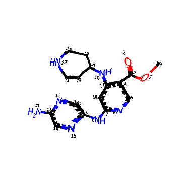 COC(=O)c1cnc(Nc2cnc(N)cn2)cc1NC1CCNCC1